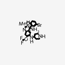 COc1ccc(Br)cc1C1(N)NC=Nc2cc(OC(F)F)c(NC3CCNCC3)cc21